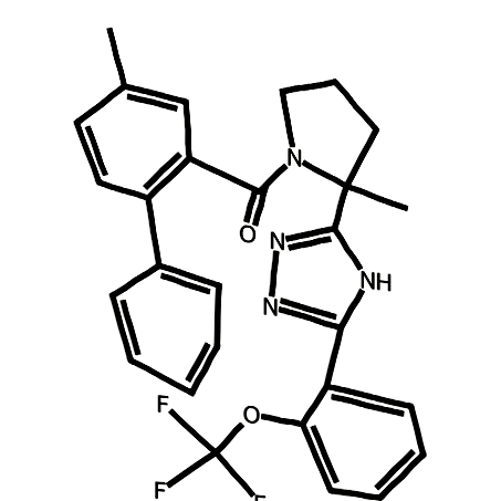 Cc1ccc(-c2ccccc2)c(C(=O)N2CCCC2(C)c2nnc(-c3ccccc3OC(F)(F)F)[nH]2)c1